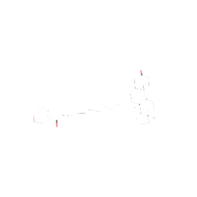 C[C@]12CCC(=O)C[C@@H]1C[C@@H](CCCCCCCCCCC(=O)N1CCOCC1)[C@@H]1[C@@H]2CC[C@]2(C)[C@@H](O)CC[C@@H]12